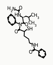 CC(C)C[C@H](NC(N)=O)C(=O)N(C(=O)C(S)CCCNC(=O)c1ccccc1)c1ccccc1